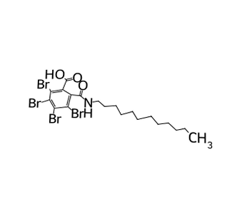 CCCCCCCCCCCCNC(=O)c1c(Br)c(Br)c(Br)c(Br)c1C(=O)O